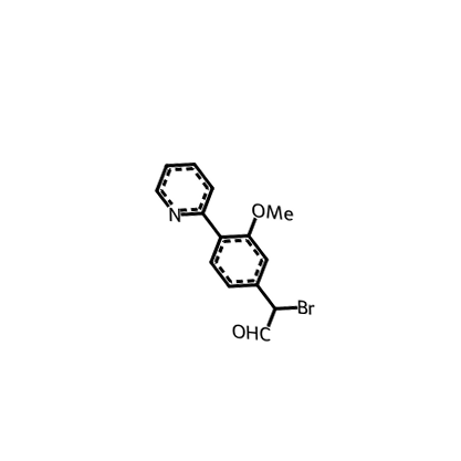 COc1cc(C(Br)C=O)ccc1-c1ccccn1